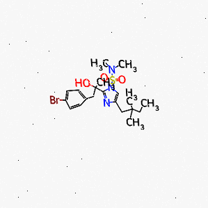 CCC(C)(C)Cc1cn(S(=O)(=O)N(C)C)c(C(C)(O)Cc2ccc(Br)cc2)n1